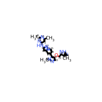 Cc1cc(Nc2cc3cc(-c4c(OCC(N)C5(C)CC5)cnn4C)ccn3n2)nc(C)n1